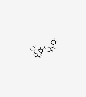 Cc1cc2c(cc1C(=O)N1CCc3onc(-c4ccc(F)cc4)c3C1)[nH]c(=O)c1cnc(C3CCOCC3)n12